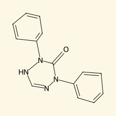 O=C1N(c2ccccc2)N=CNN1c1ccccc1